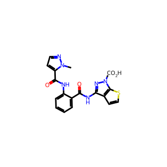 Cn1nccc1C(=O)Nc1ccccc1C(=O)Nc1nn(C(=O)O)c2sccc12